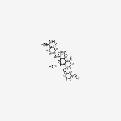 CCOc1cccc(Oc2ccc(F)c([C@H](OCC)C(=O)NCc3ccc(C(=N)N)cc3)c2F)c1.Cl